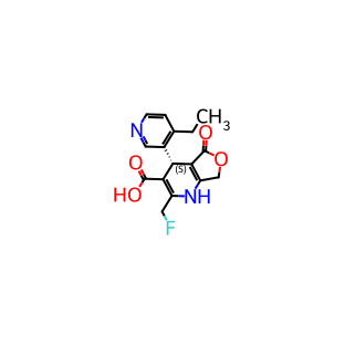 CCc1ccncc1[C@H]1C(C(=O)O)=C(CF)NC2=C1C(=O)OC2